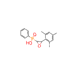 Cc1cc(C)c(C2OC2P(=O)(O)c2ccccc2)c(C)c1